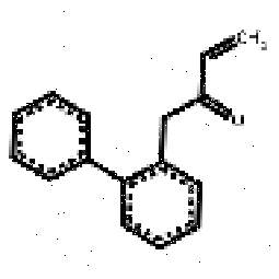 C=CC(=O)Cc1ccccc1-c1ccccc1